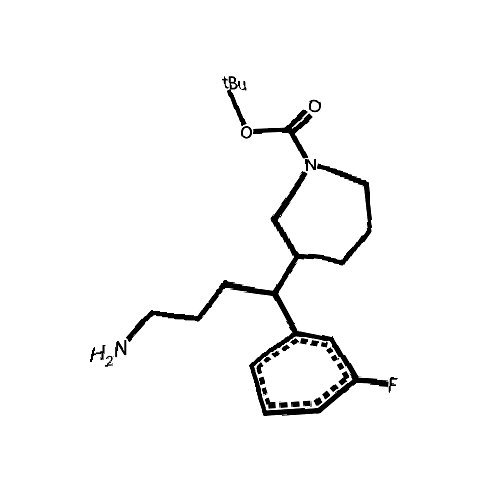 CC(C)(C)OC(=O)N1CCCC(C(CCCN)c2cccc(F)c2)C1